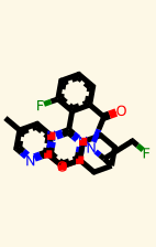 Cc1ccc(OC2CC3CCC2N(C(=O)c2cccc(F)c2-c2ncccn2)C3CF)nc1